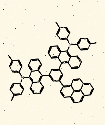 Cc1ccc(N(c2ccc(C)cc2)c2c3ccccc3c(-c3cc(-c4c5ccccc5c(N(c5ccc(C)cc5)c5ccc(C)cc5)c5ccccc45)cc(-c4ccc5ccc6cccc7ccc4c5c67)c3)c3ccccc23)cc1